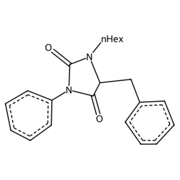 CCCCCCN1C(=O)N(c2ccccc2)C(=O)C1Cc1ccccc1